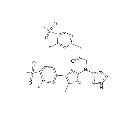 Cc1nc(N(CC(=O)Cc2ccc(S(C)(=O)=O)c(F)c2)c2cc[nH]n2)sc1-c1ccc(S(C)(=O)=O)c(F)c1